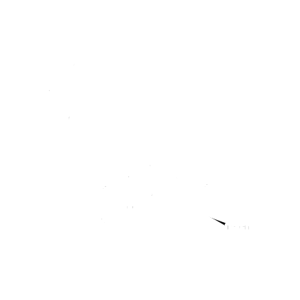 CCCCC[C@H]1CC[C@H](C2(OC(F)(F)F)C=CC(c3ccccc3)C=C2)CC1